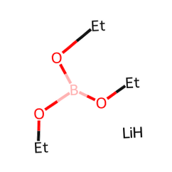 CCOB(OCC)OCC.[LiH]